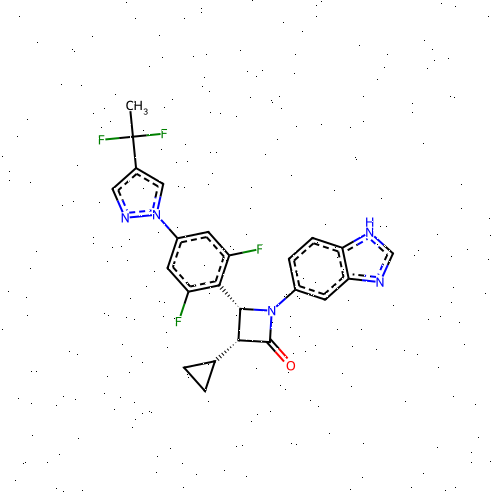 CC(F)(F)c1cnn(-c2cc(F)c([C@H]3[C@@H](C4CC4)C(=O)N3c3ccc4[nH]cnc4c3)c(F)c2)c1